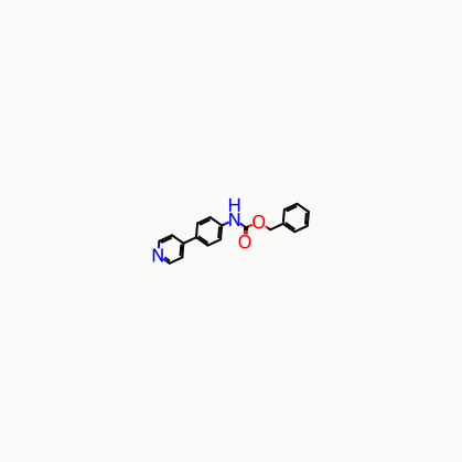 O=C(Nc1ccc(-c2ccncc2)cc1)OCc1ccccc1